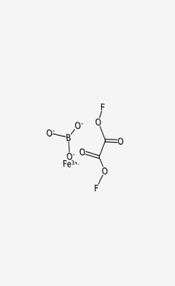 O=C(OF)C(=O)OF.[Fe+3].[O-]B([O-])[O-]